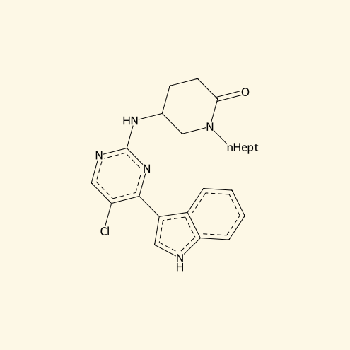 [CH2]CCCCCCN1CC(Nc2ncc(Cl)c(-c3c[nH]c4ccccc34)n2)CCC1=O